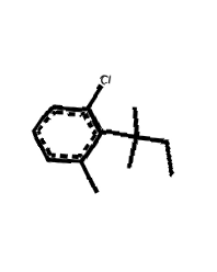 CCC(C)(C)c1c(C)cccc1Cl